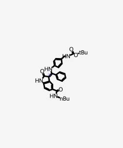 CCCCNC(=O)c1ccc2c(c1)/C(=C(/Nc1ccc(CNC(=O)OC(C)(C)C)cc1)c1ccccc1)C(=O)N2